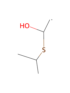 [CH2]C(O)SC(C)C